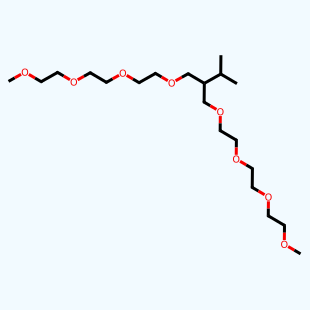 COCCOCCOCCOCC(COCCOCCOCCOC)C(C)C